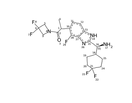 CC(C(=O)N1CC(F)(F)C1)c1ccc2[nH]c([C@@H](N)C3CCC(F)(F)CC3)nc2c1F